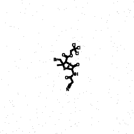 CC1(CBr)SC2C(NC(=O)CC#N)C(=O)N2C1C(=O)OCC(Cl)(Cl)Cl